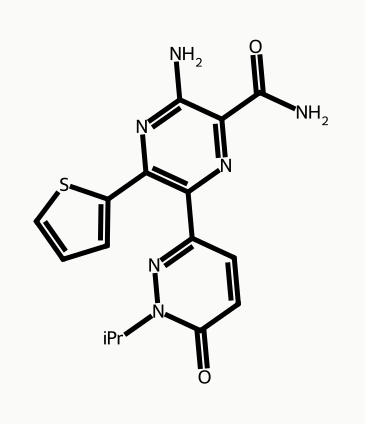 CC(C)n1nc(-c2nc(C(N)=O)c(N)nc2-c2cccs2)ccc1=O